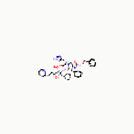 O=C(NC1(Cc2ccccc2)CCN([C@@H](Cc2c[nH]cn2)C(=O)N[C@@H](CC2CCCCC2)[C@@H](O)[C@@H](O)CCc2ccccn2)C1=O)OCc1ccccc1